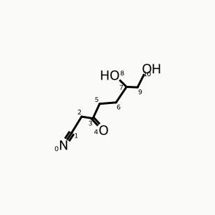 N#CCC(=O)CCC(O)CO